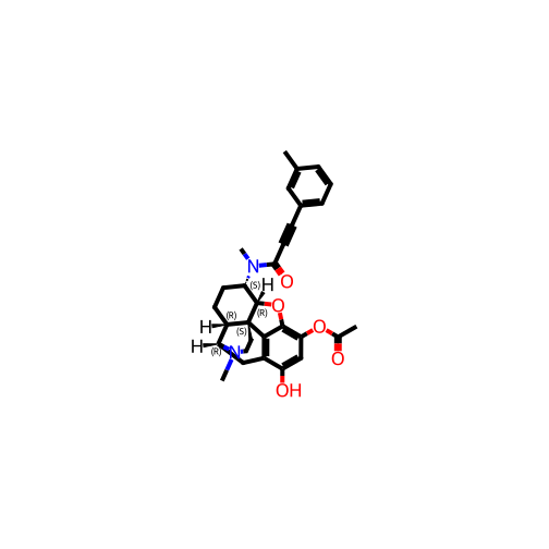 CC(=O)Oc1cc(O)c2c3c1O[C@H]1[C@@H](N(C)C(=O)C#Cc4cccc(C)c4)CC[C@H]4[C@@H](C2)N(C)CC[C@@]341